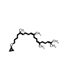 CC(C)=CCCC(C)=CCCC(C)=CCCC=C(C)CCCCOC1CC1